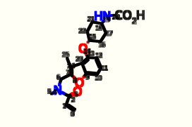 C=CC(=O)N(C)Cc1oc2cccc(O[C@H]3CC[C@H](NC(=O)O)CC3)c2c1C